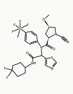 CO[C@@H]1C[C@H](C(=O)N(c2ccc(S(F)(F)(F)(F)F)cc2)C(C(=O)NC2CCC(F)(F)CC2)c2cncs2)N(C#N)C1